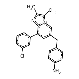 Cc1nc2c(-c3cccc(Cl)c3)cc(Cc3ccc(N)cc3)cn2c1C